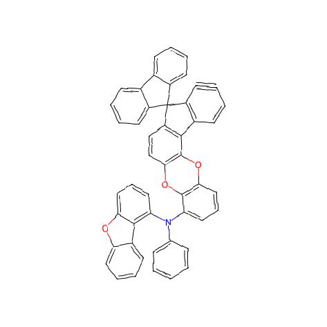 c1ccc2c(c#1)C1(c3ccccc3-c3ccccc31)c1ccc3c(c1-2)Oc1cccc(N(c2ccccc2)c2cccc4oc5ccccc5c24)c1O3